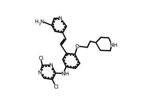 Nc1cncc(/C=C/c2cc(Nc3nc(Cl)ncc3Cl)ccc2OCCC2CCNCC2)c1